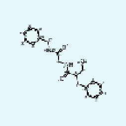 O=C(CNC(=O)C(CS)Cc1ccccc1)NCc1ccccc1